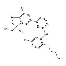 COCCOc1ccc(Cl)cc1Nc1nccc(-c2cc(C#N)c3c(c2)C(C)(CO)CN3)n1